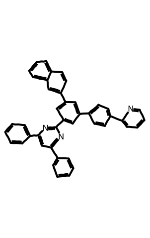 c1ccc(-c2cc(-c3ccccc3)nc(-c3cc(-c4ccc(-c5ccccn5)cc4)cc(-c4ccc5ccccc5c4)c3)n2)cc1